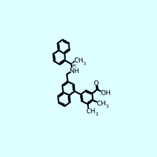 Cc1cc(-c2cc(CN[C@H](C)c3cccc4ccccc34)cc3ccccc23)cc(C(=O)O)c1C